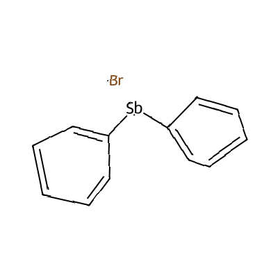 [Br].c1cc[c]([Sb][c]2ccccc2)cc1